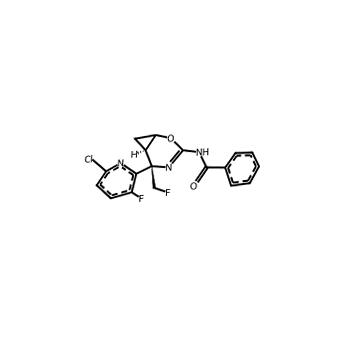 O=C(NC1=N[C@](CF)(c2nc(Cl)ccc2F)[C@H]2CC2O1)c1ccccc1